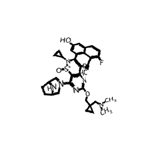 C#Cc1c(F)ccc2cc(O)cc(C3=C(F)c4nc(OCC5(CN(C)C)CC5)nc(N5CC6CCC(C5)N6)c4[S+]([O-])N3C3CC3)c12